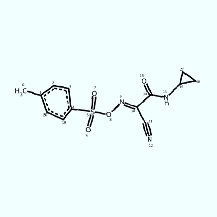 Cc1ccc(S(=O)(=O)O/N=C(\C#N)C(=O)NC2CC2)cc1